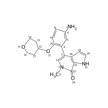 Cn1cc(-c2cc(N)ccc2OC2CCOCC2)c2cc[nH]c2c1=O